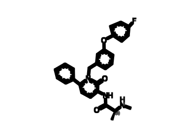 CN[C@@H](C)C(=O)Nc1ccc(-c2ccccc2)n(Cc2cccc(Oc3ccc(F)cc3)c2)c1=O